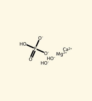 O=P([O-])([O-])O.[Ca+2].[Mg+2].[OH-].[OH-]